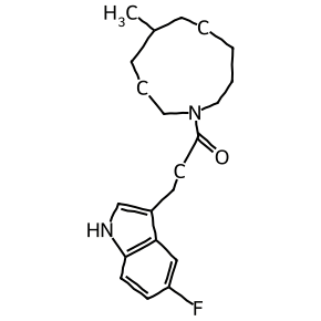 CC1CCCCCN(C(=O)CCc2c[nH]c3ccc(F)cc23)CCC1